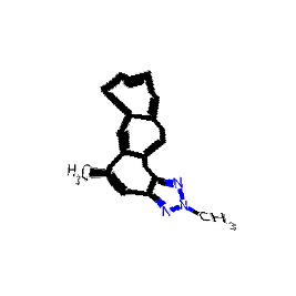 Cc1cc2nn(C)nc2c2cc3ccccc3cc12